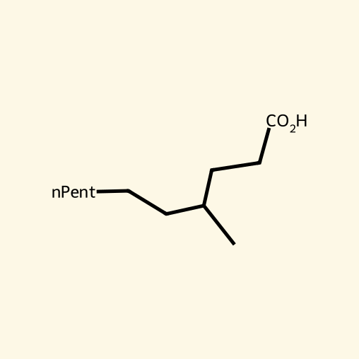 CCCCCCCC(C)CCC(=O)O